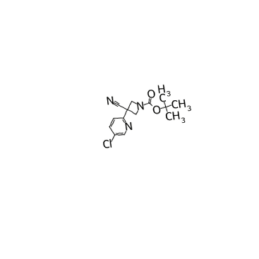 CC(C)(C)OC(=O)N1CC(C#N)(c2ccc(Cl)cn2)C1